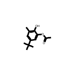 CC(=O)Oc1cc(C(C)(C)C)cc(C)c1O